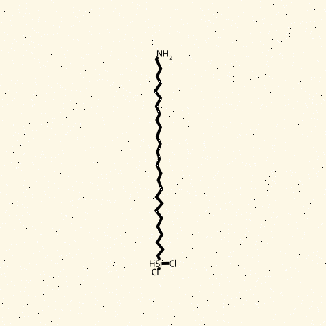 NCCCCCCCCCCCCCCCCCCCCCCCCCCC[SiH](Cl)Cl